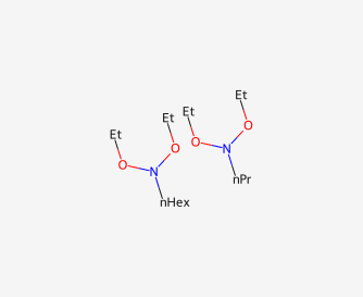 CCCCCCN(OCC)OCC.CCCN(OCC)OCC